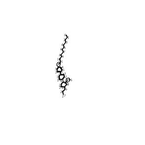 CCCCCCCCCCCCOc1ccc(-c2ccc([C@H]3CCC(CCC)C[C@@H]3OC)cc2)cc1